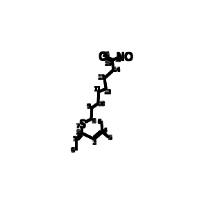 C/C=C(\C=C(C)C)SCCCCCCCC(=O)N=O